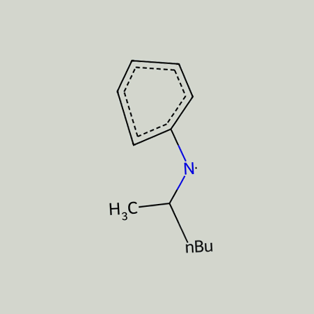 CCCCC(C)[N]c1ccccc1